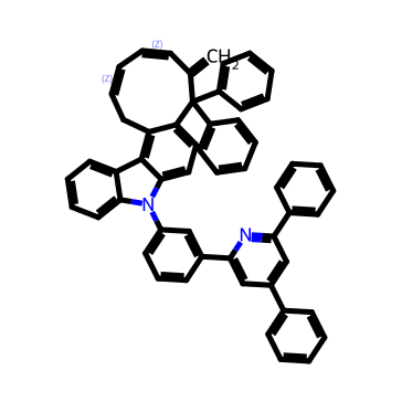 C=C1/C=C\C=C/Cc2c(ccc3c2c2ccccc2n3-c2cccc(-c3cc(-c4ccccc4)cc(-c4ccccc4)n3)c2)C1(c1ccccc1)c1ccccc1